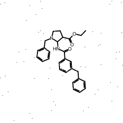 CCOC(=O)C1CCN(Cc2ccccc2)C1NC(=O)c1cccc(Cc2ccccc2)c1